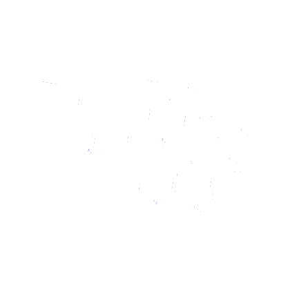 Cc1ncc(-c2ccc(OCC3CC3)nc2)c(N2CCC(C)(C)CC2)c1[C@H](OC(C)(C)C)C(=O)O